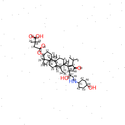 CC(C)C1=C2[C@H]3CC[C@@H]4[C@@]5(C)CC[C@H](OC(=O)CC(C)(C)C(=O)O)C(C)(C)[C@@H]5CC[C@@]4(C)[C@]3(C)CC[C@@]2([C@H](O)CNC2CCC(O)CC2)CC1=O